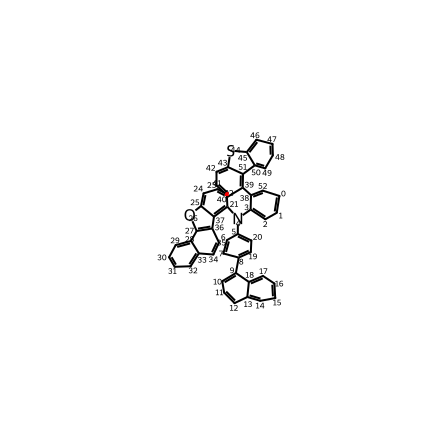 c1ccc(N(c2ccc(-c3cccc4ccccc34)cc2)c2cccc3oc4c5ccccc5ccc4c23)c(-c2cccc3sc4ccccc4c23)c1